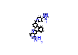 NNc1nccc2nc(-c3ccc(CN4CCC(c5nnc[nH]5)CC4)cc3)c(-c3ccccc3)cc12